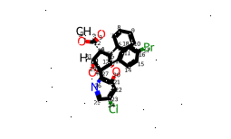 COC(=O)[C@@H]1[C@@H](C2C=CC=CC2)[C@]2(c3ccc(Br)cc3)Oc3cc(Cl)cnc3[C@@]23O[C@@H]13